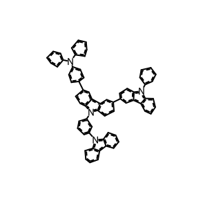 c1ccc(N(c2ccccc2)c2ccc(-c3ccc4c(c3)c3cc(-c5ccc6c(c5)c5ccccc5n6-c5ccccc5)ccc3n4-c3cccc(-n4c5ccccc5c5ccccc54)c3)cc2)cc1